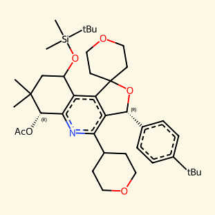 CC(=O)O[C@H]1c2nc(C3CCOCC3)c3c(c2C(O[Si](C)(C)C(C)(C)C)CC1(C)C)C1(CCOCC1)O[C@@H]3c1ccc(C(C)(C)C)cc1